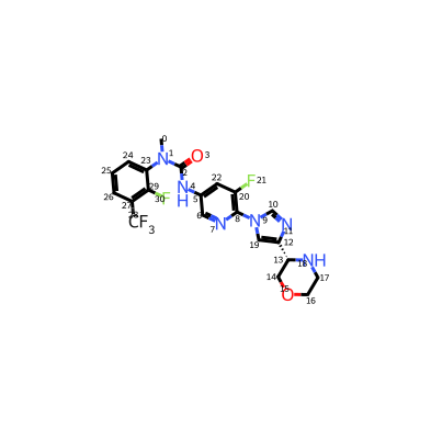 CN(C(=O)Nc1cnc(-n2cnc([C@H]3COCCN3)c2)c(F)c1)c1cccc(C(F)(F)F)c1F